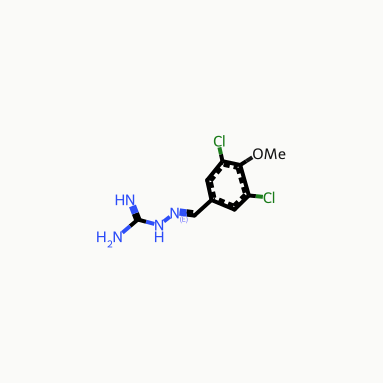 COc1c(Cl)cc(/C=N/NC(=N)N)cc1Cl